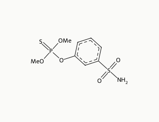 COP(=S)(OC)Oc1cccc(S(N)(=O)=O)c1